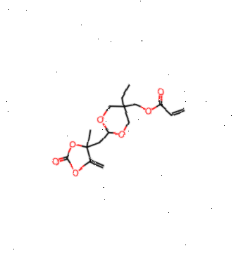 C=CC(=O)OCC1(CC)COC(CC2(C)OC(=O)OC2=C)OC1